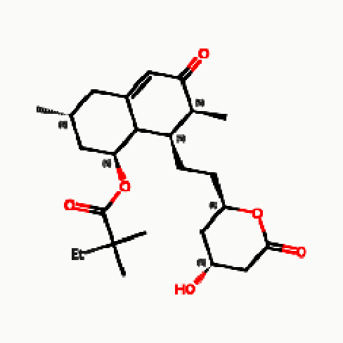 CCC(C)(C)C(=O)O[C@H]1C[C@H](C)CC2=CC(=O)[C@@H](C)[C@@H](CC[C@@H]3C[C@@H](O)CC(=O)O3)C21